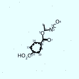 CC(N=C=O)OC(=O)c1ccc(C(=O)O)cc1